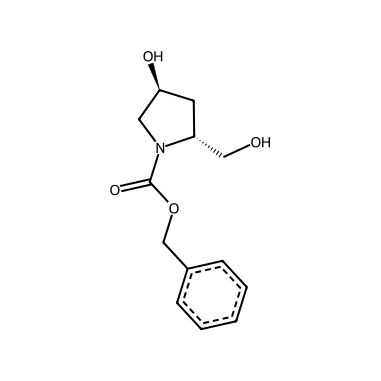 O=C(OCc1ccccc1)N1C[C@@H](O)C[C@@H]1CO